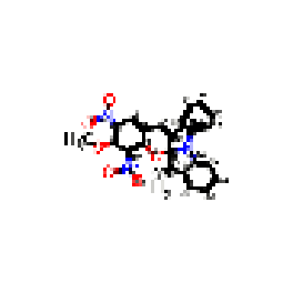 COc1c([N+](=O)[O-])cc2c(c1[N+](=O)[O-])OC1(C(C)=C2)C(C)c2ccccc2N1c1ccccc1